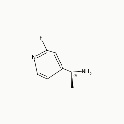 C[C@H](N)c1ccnc(F)c1